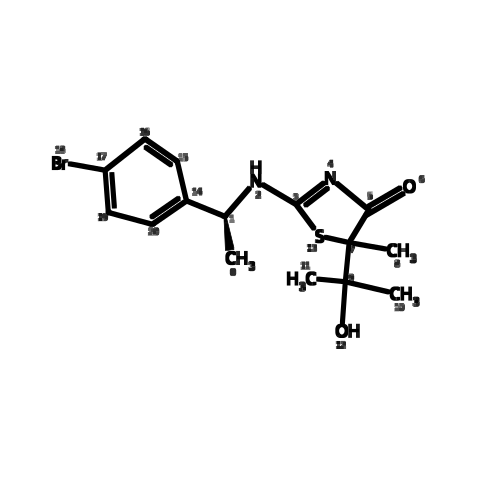 C[C@H](NC1=NC(=O)C(C)(C(C)(C)O)S1)c1ccc(Br)cc1